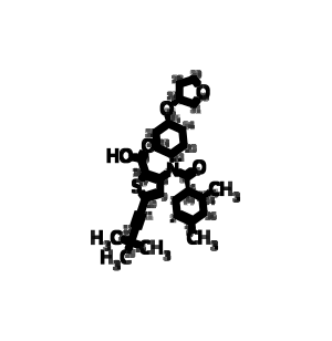 CC1=CC[C@@H](C(=O)N(c2cc(C#CC(C)(C)C)sc2C(=O)O)[C@H]2CC[C@H](O[C@H]3CCOC3)CC2)[C@@H](C)C1